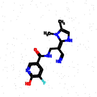 CC1=CN/C(=C(\C=N)CNC(=O)c2cnc(O)c(F)c2)N1C